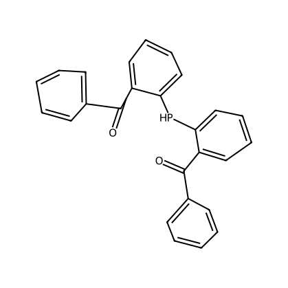 O=C(c1ccccc1)c1ccccc1Pc1ccccc1C(=O)c1ccccc1